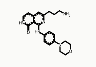 NCCCc1cc2cc[nH]c(=O)c2c(Nc2ccc(N3CCOCC3)cc2)n1